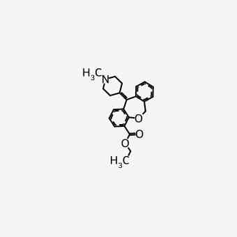 CCOC(=O)c1cccc2c1OCc1ccccc1C2=C1CCN(C)CC1